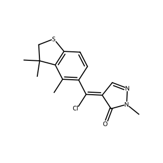 Cc1c(/C(Cl)=C2\C=NN(C)C2=O)ccc2c1C(C)(C)CS2